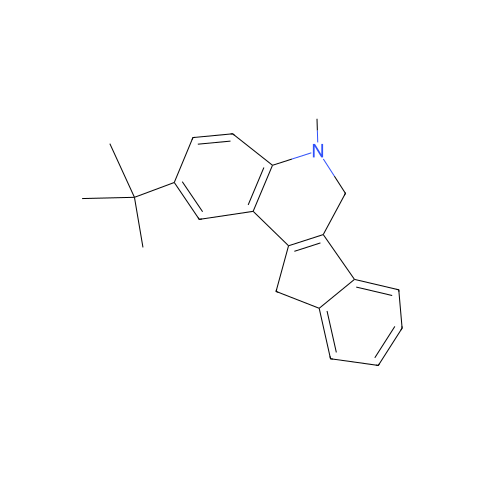 CN1CC2=C(Cc3ccccc32)c2cc(C(C)(C)C)ccc21